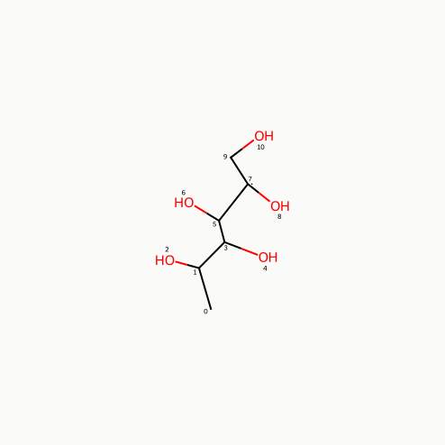 CC(O)C(O)C(O)[C](O)CO